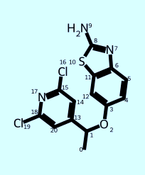 CC(Oc1ccc2nc(N)sc2c1)c1cc(Cl)nc(Cl)c1